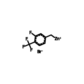 Fc1cc([CH2][Zn+])ccc1C(F)(F)F.[Br-]